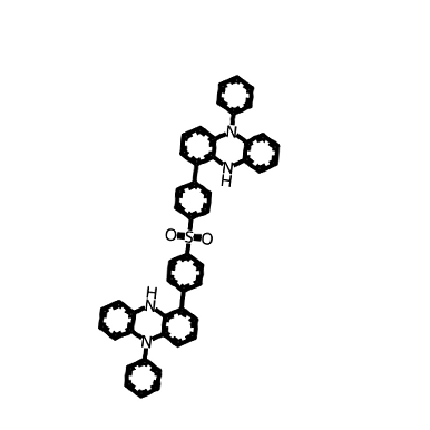 O=S(=O)(c1ccc(-c2cccc3c2Nc2ccccc2N3c2ccccc2)cc1)c1ccc(-c2cccc3c2Nc2ccccc2N3c2ccccc2)cc1